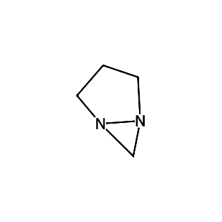 C1CN2CN2C1